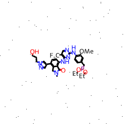 CCOP(Cc1ccc(Nc2ncc(C(F)(F)F)c(Nc3ccc(-c4cnn(CCCO)c4)c4c3C(=O)N(C)C4)n2)c(OC)c1)OCC